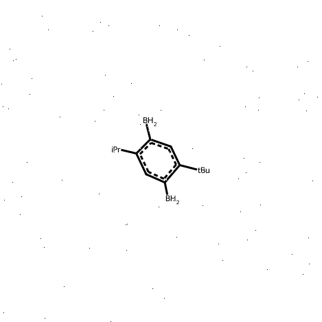 Bc1cc(C(C)(C)C)c(B)cc1C(C)C